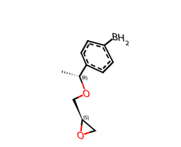 Bc1ccc([C@@H](C)OC[C@H]2CO2)cc1